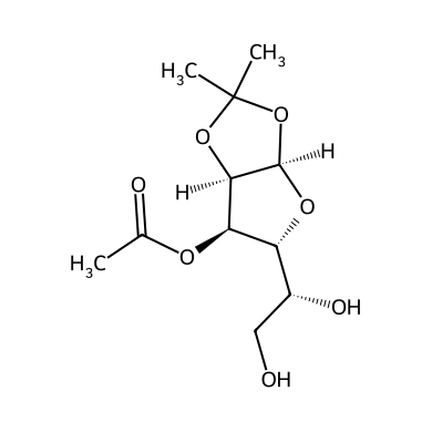 CC(=O)O[C@H]1[C@H]2OC(C)(C)O[C@H]2O[C@@H]1[C@H](O)CO